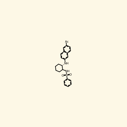 CC(=O)c1ccc2cc(N[C@H]3CCCCC3NS(=O)(=O)c3ccccc3)ccc2c1